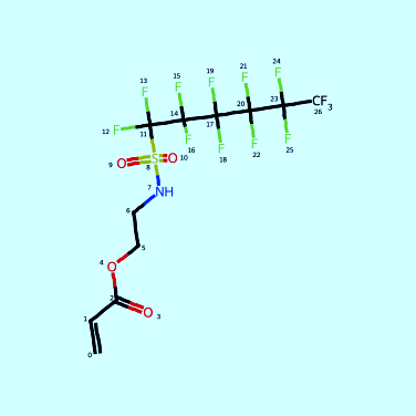 C=CC(=O)OCCNS(=O)(=O)C(F)(F)C(F)(F)C(F)(F)C(F)(F)C(F)(F)C(F)(F)F